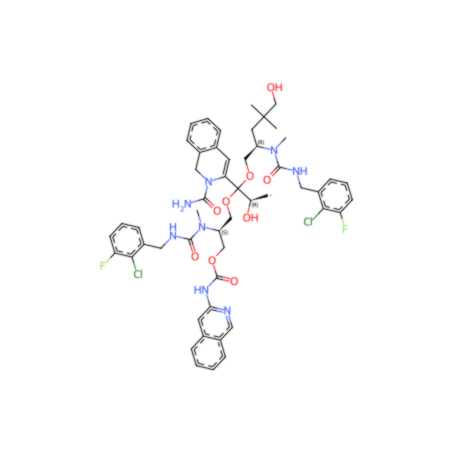 [CH2][C@@H](O)C(OC[C@@H](COC(=O)Nc1cc2ccccc2cn1)N(C)C(=O)NCc1cccc(F)c1Cl)(OC[C@@H](CC(C)(C)CO)N(C)C(=O)NCc1cccc(F)c1Cl)C1=Cc2ccccc2CN1C(N)=O